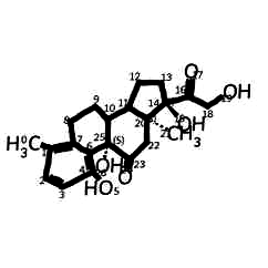 Cc1ccc(O)c2c1CCC1C3CC[C@](O)(C(=O)CO)[C@@]3(C)CC(=O)[C@@]21O